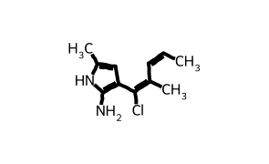 C/C=C\C(C)=C(\Cl)c1cc(C)[nH]c1N